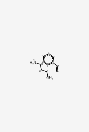 C=Cc1ccccc1.NCCCN